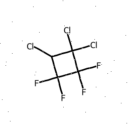 FC1(F)C(Cl)C(Cl)(Cl)C1(F)F